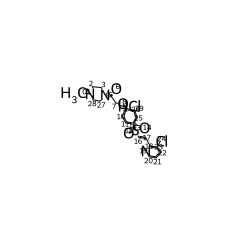 CN1CCN(C(=O)COc2ccc(S(=O)(=O)C=Cc3ncccc3Cl)cc2)CC1.Cl